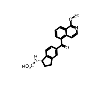 CCOc1nccc2c(C(=O)c3ccc4c(c3)CC[C@@H]4NC(=O)O)cccc12